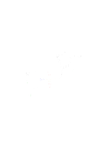 N#CCN(CC(Cl)Cl)S(=O)(=O)Cc1cccc(C(F)(F)F)c1Cl